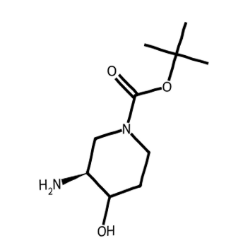 CC(C)(C)OC(=O)N1CCC(O)[C@@H](N)C1